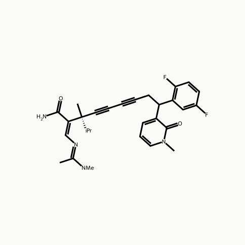 CN/C(C)=N/C=C(/C(N)=O)[C@@](C)(C#CC#CCC(c1cc(F)ccc1F)c1cccn(C)c1=O)C(C)C